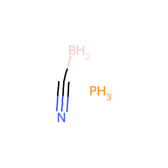 BC#N.P